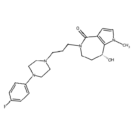 Cn1ccc2c1[C@H](O)CCN(CCCN1CCN(c3ccc(F)cc3)CC1)C2=O